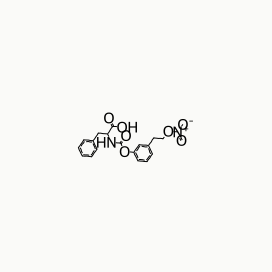 O=C(NC(Cc1ccccc1)C(=O)O)Oc1cccc(CCO[N+](=O)[O-])c1